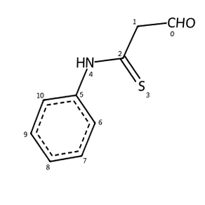 O=CCC(=S)Nc1ccccc1